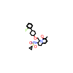 Cc1ccc2n(c1=O)C(COC1CCC(c3ccccc3F)CC1)C(NS(=O)(=O)C1CC1)CC2